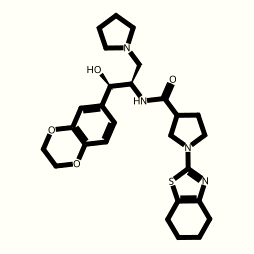 O=C(N[C@H](CN1CCCC1)[C@H](O)c1ccc2c(c1)OCCO2)C1CCN(c2nc3c(s2)CCCC3)C1